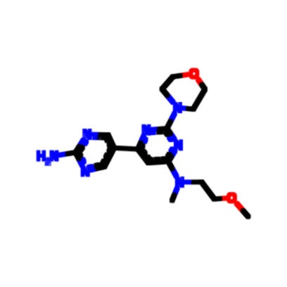 COCCN(C)c1cc(-c2cnc(N)nc2)nc(N2CCOCC2)n1